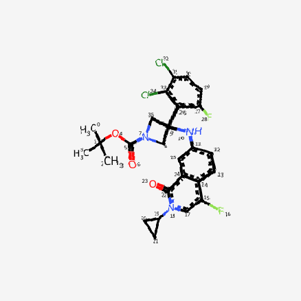 CC(C)(C)OC(=O)N1CC(Nc2ccc3c(F)cn(C4CC4)c(=O)c3c2)(c2c(F)ccc(Cl)c2Cl)C1